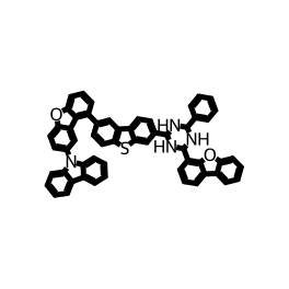 c1ccc(C2NC(c3ccc4c(c3)sc3ccc(-c5cccc6oc7ccc(-n8c9ccccc9c9ccccc98)cc7c56)cc34)NC(c3cccc4c3oc3ccccc34)N2)cc1